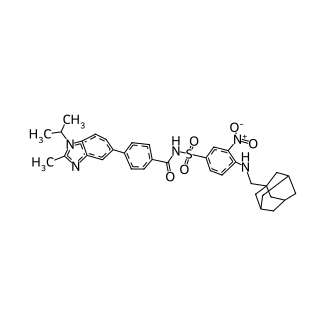 Cc1nc2cc(-c3ccc(C(=O)NS(=O)(=O)c4ccc(NCC56CC7CC(CC(C7)C5)C6)c([N+](=O)[O-])c4)cc3)ccc2n1C(C)C